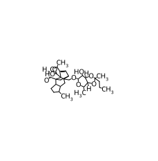 CCCC1(C)O[C@H]2[C@H](O)[C@H](OCC34CC5C(C)CCC5C5(C=O)CC3C=C(C(C)C)C54C(=O)O)O[C@H](C)[C@H]2O1